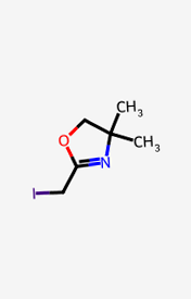 CC1(C)COC(CI)=N1